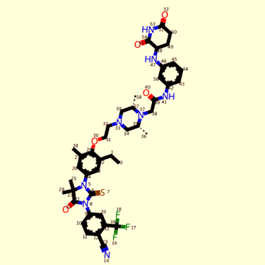 CCc1cc(N2C(=S)N(c3ccc(C#N)c(C(F)(F)F)c3)C(=O)C2(C)C)cc(C)c1OCCN1C[C@@H](C)N(CC(=O)Nc2cccc(NC3CCC(=O)NC3=O)c2)[C@@H](C)C1